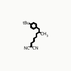 CC(CCC=CC=C(C#N)C#N)Cc1ccc(C(C)(C)C)cc1